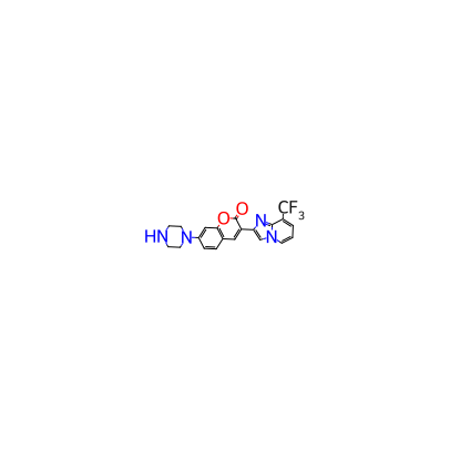 O=c1oc2cc(N3CCNCC3)ccc2cc1-c1cn2cccc(C(F)(F)F)c2n1